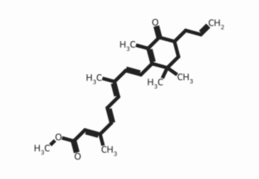 C=CCC1CC(C)(C)C(C=CC(C)=CC=CC(C)=CC(=O)OC)=C(C)C1=O